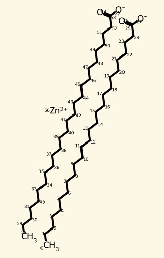 CCCCCCCCCCCCCCCCCCCCCCCCCC(=O)[O-].CCCCCCCCCCCCCCCCCCCCCCCCCC(=O)[O-].[Zn+2]